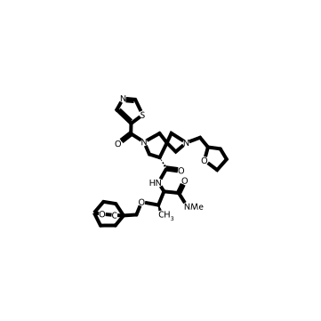 CNC(=O)C(NC(=O)[C@@H]1CN(C(=O)c2cncs2)CC12CN(CC1CCCO1)C2)[C@@H](C)OCC12CCC(CC1)OC2